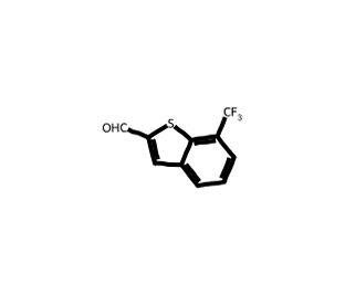 O=Cc1cc2cccc(C(F)(F)F)c2s1